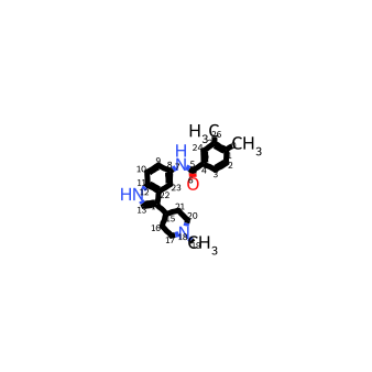 Cc1ccc(C(=O)Nc2ccc3[nH]cc(C4CCN(C)CC4)c3c2)cc1C